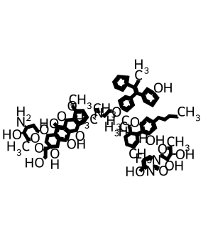 CC/C(=C(/c1ccc(OCCN(C)C)cc1)c1cccc(O)c1)c1ccccc1.CCCCCc1cc(O)c2c(c1)OC(C)(C)[C@@H]1CCC(C)=C[C@@H]21.COc1cccc2c1C(=O)c1c(O)c3c(c(O)c1C2=O)C[C@@](O)(C(=O)CO)C[C@@H]3O[C@H]1C[C@H](N)[C@H](O)[C@H](C)O1.C[C@H]1O[C@@H](n2cc(F)c(O)nc2=O)[C@H](O)[C@@H]1O